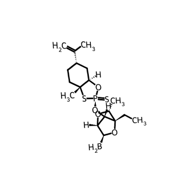 B[C@@H]1O[C@@]2(CC)[C@@H](C)O[C@@H]1[C@@H]2O[P@]1(=S)O[C@@H]2C[C@@H](C(=C)C)CC[C@@]2(C)S1